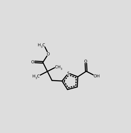 COC(=O)C(C)(C)Cc1ccc(C(=O)O)s1